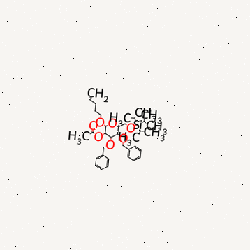 C=CCCCOC1OC(CO[Si](C(C)C)(C(C)C)C(C)C)C(OCc2ccccc2)C(OCc2ccccc2)C1OC(C)=O